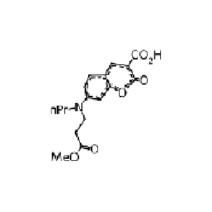 CCCN(CCC(=O)OC)c1ccc2cc(C(=O)O)c(=O)oc2c1